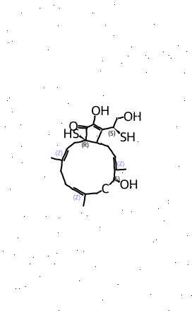 C/C1=C/C[C@]2(S)C(=O)C(O)=C([C@H](S)CO)C2C/C=C(/C)[C@@H](O)CC/C(C)=C\CC1